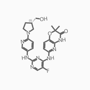 CC1(C)Oc2ccc(Nc3nc(Nc4ccc(N5CC[C@H](CO)C5)nc4)ncc3F)nc2NC1=O